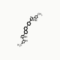 C=C1CN[C@H](c2ncc(-c3ccc4cc(-c5ccc(-c6cnc([C@@H]7CC(C)CN7)[nH]6)cc5)ccc4c3)[nH]2)C1